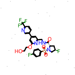 O=C(NCc1cc(-c2ccc(C(F)(F)F)nc2)cc(OCCO)n1)[C@@H]1C[C@@H](F)CN1S(=O)(=O)c1ccc(F)cc1